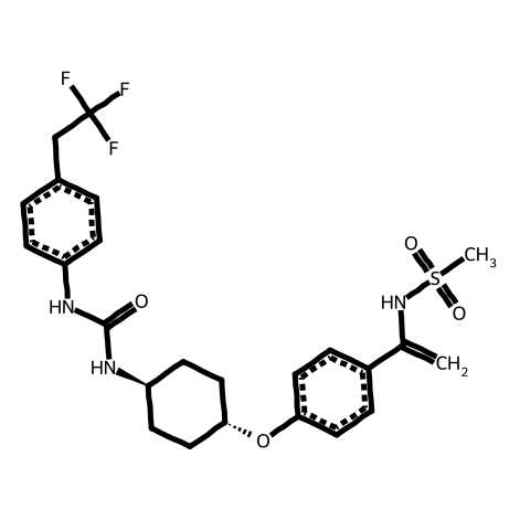 C=C(NS(C)(=O)=O)c1ccc(O[C@H]2CC[C@H](NC(=O)Nc3ccc(CC(F)(F)F)cc3)CC2)cc1